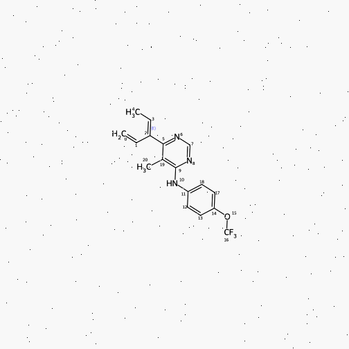 C=C/C(=C\C)c1ncnc(Nc2ccc(OC(F)(F)F)cc2)c1C